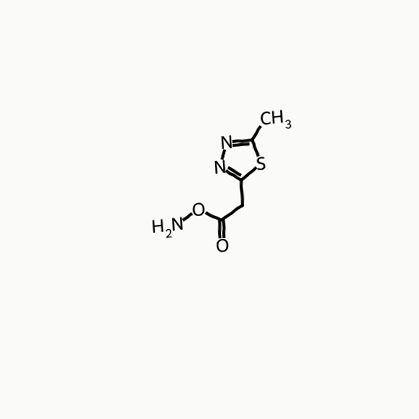 Cc1nnc(CC(=O)ON)s1